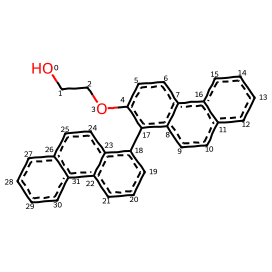 OCCOc1ccc2c(ccc3ccccc32)c1-c1cccc2c1ccc1ccccc12